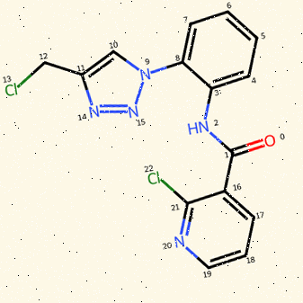 O=C(Nc1ccccc1-n1cc(CCl)nn1)c1cccnc1Cl